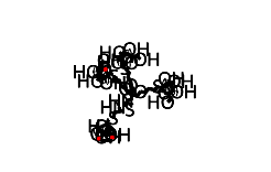 OCC1O[C@H](SCCCOCC(CNC(=S)NCCSCC2O[C@@H]3OCCCCCC2[C@@H](O)C3O)(COCCCS[C@@H]2OC(CO)[C@@H](O)C(O)[C@@H]2O)COCCCS[C@@H]2OC(CO)[C@@H](O)C(O)[C@@H]2O)[C@H](O)C(O)[C@@H]1O